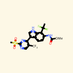 COC(=O)Nc1ccc2c(-c3nc(S(C)(=O)=O)ncc3C(F)(F)F)c[nH]c2c1C(C)(F)F